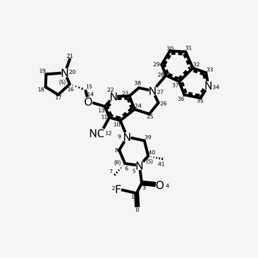 C=C(F)C(=O)N1[C@H](C)CN(c2c(C#N)c(OC[C@@H]3CCCN3C)nc3c2CCN(c2cccc4cnccc24)C3)C[C@@H]1C